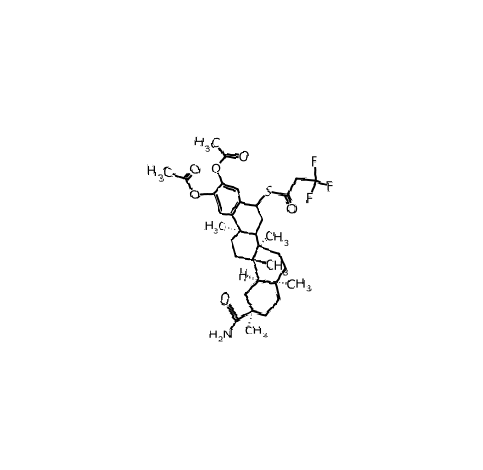 CC(=O)Oc1cc2c(cc1OC(C)=O)[C@]1(C)CC[C@@]3(C)[C@@H]4C[C@](C)(C(N)=O)CC[C@]4(C)CC[C@]3(C)C1CC2SC(=O)CC(F)(F)F